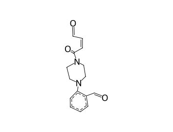 O=C/C=C\C(=O)N1CCN(c2ccccc2C=O)CC1